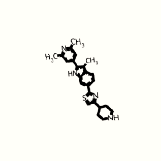 Cc1cc(-c2[nH]c3cc(-c4nc(C5CCNCC5)cs4)ccc3c2C)cc(C)n1